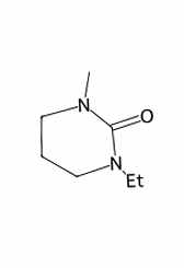 [CH2]CN1CCCN(C)C1=O